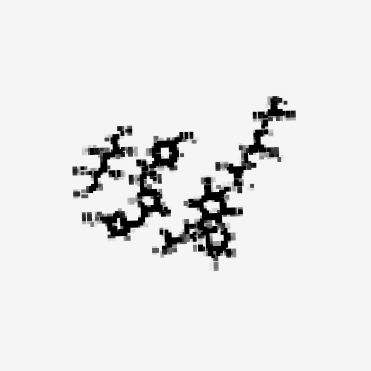 CC(/C=N/NC(=N)N)=N\NC(=N)N.CO[C@@]12[C@H](COC(N)=O)C3=C(C(=O)C(C)=C(N)C3=O)N1C[C@@H]1N[C@@H]12.Cc1ccc(S(=O)(=O)NC2=NC(=O)C(Cc3ccc(C)o3)S2)cc1.OC[C@@H](O)[C@@H](O)[C@H](O)[C@@H](O)CO